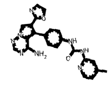 Cc1ccnc(NC(=O)Nc2ccc(-c3c(-c4ncco4)cn4ncnc(N)c34)cc2)c1